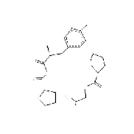 N[C@@H](COC(=O)[C@@H]1CCCN1)C(=O)O.N[C@@H](Cc1ccc(O)cc1)C(=O)OC(=O)[C@@H]1CCCN1